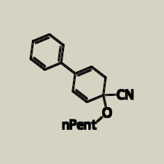 CCCCCOC1(C#N)C=CC(c2ccccc2)=CC1